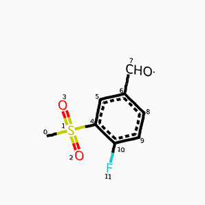 CS(=O)(=O)c1cc([C]=O)ccc1F